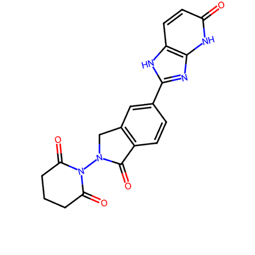 O=C1c2ccc(-c3nc4[nH]c(=O)ccc4[nH]3)cc2CN1N1C(=O)CCCC1=O